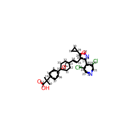 CC(C)(C(=O)O)c1ccc(C23CCC(C=Cc4c(-c5c(Cl)cncc5Cl)noc4C4CC4)(CC2)CO3)cc1